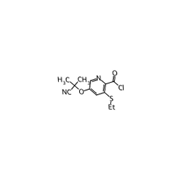 CCSc1cc(OC(C)(C)C#N)cnc1C(=O)Cl